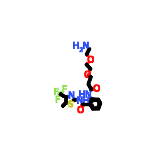 CC1SC(NC(=O)c2ccccc2NC(=O)CCOCCOCCN)=NC1C(F)(F)F